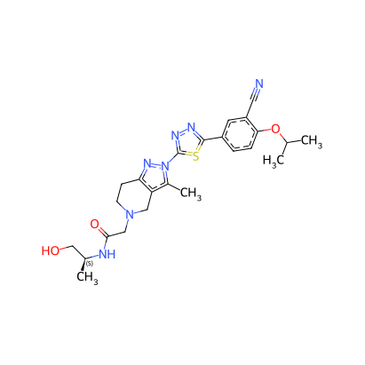 Cc1c2c(nn1-c1nnc(-c3ccc(OC(C)C)c(C#N)c3)s1)CCN(CC(=O)N[C@@H](C)CO)C2